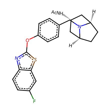 CC(=O)N[C@@H]1C[C@H]2CC[C@@H](C1)N2Cc1ccc(Oc2nc3ccc(F)cc3s2)cc1